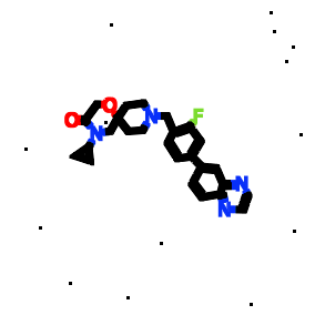 O=C1COC2(CCN(Cc3ccc(-c4ccc5nccnc5c4)cc3F)CC2)CN1C1CC1